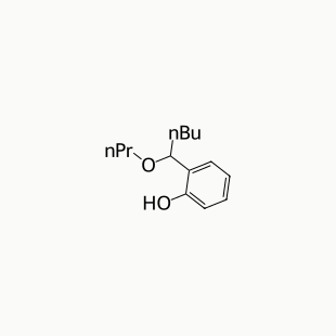 CCCCC(OCCC)c1ccccc1O